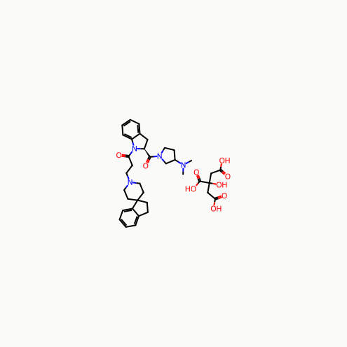 CN(C)C1CCN(C(=O)[C@@H]2Cc3ccccc3N2C(=O)CCN2CCC3(CCc4ccccc43)CC2)C1.O=C(O)CC(O)(CC(=O)O)C(=O)O